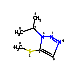 [CH2]Sc1cnnn1C(C)C